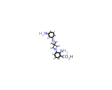 Nc1cccc(N2CC3(C2)CN(c2cccc(C(=O)O)c2N)C3)c1